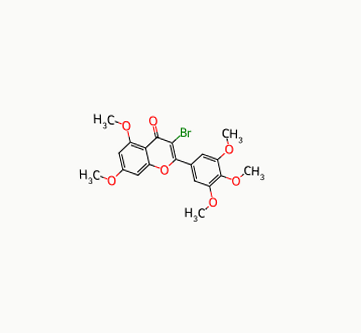 COc1cc(OC)c2c(=O)c(Br)c(-c3cc(OC)c(OC)c(OC)c3)oc2c1